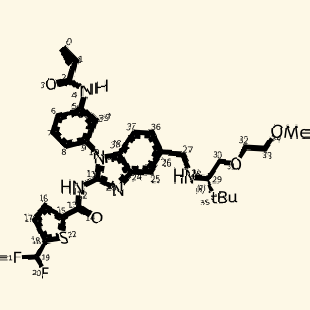 C=CC(=O)Nc1cccc(-n2c(NC(=O)c3ccc(C(F)F)s3)nc3cc(CN[C@@H](COCCOC)C(C)(C)C)ccc32)c1